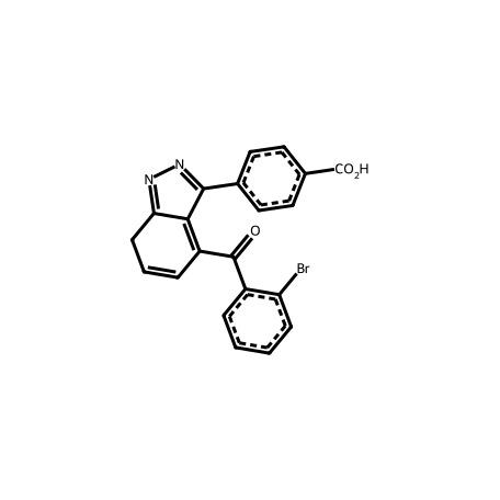 O=C(O)c1ccc(C2=NN=C3CC=CC(C(=O)c4ccccc4Br)=C32)cc1